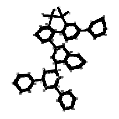 CC1(C)c2cc(-c3ccccc3)ccc2-c2c(-c3cc(-c4nc(-c5ccccc5)nc(-c5ccccc5)n4)c4ccccc4c3)cccc2C1(C)C